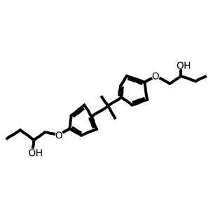 CCC(O)COc1ccc(C(C)(C)c2ccc(OCC(O)CC)cc2)cc1